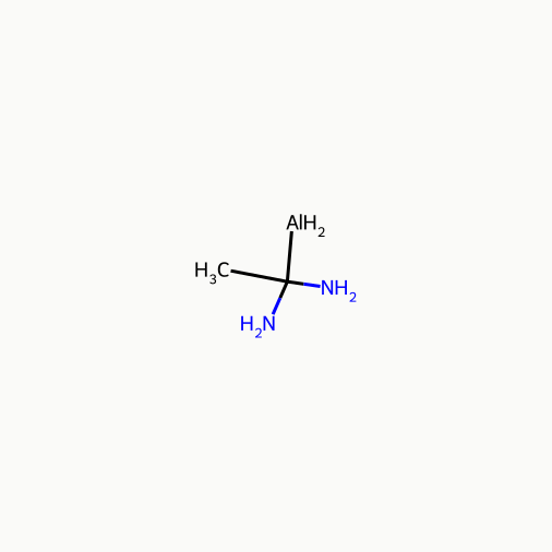 C[C](N)(N)[AlH2]